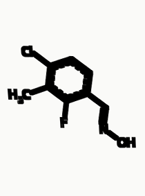 Cc1c(Cl)ccc(/C=N/O)c1F